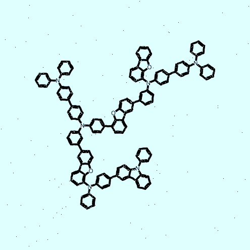 c1ccc(N(c2ccccc2)c2ccc(-c3ccc(N(c4ccc(-c5cccc6c5oc5ccc(-c7cccc(N(c8ccc(-c9ccc(N(c%10ccccc%10)c%10ccccc%10)cc9)cc8)c8cccc9c8oc8ccccc89)c7)cc56)cc4)c4cccc(-c5ccc6oc7c(N(c8ccccc8)c8ccc(-c9ccc%10c(c9)c9ccccc9n%10-c9ccccc9)cc8)cccc7c6c5)c4)cc3)cc2)cc1